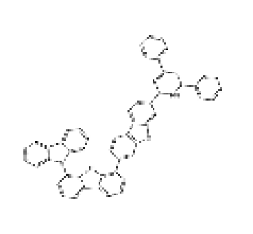 c1ccc(C2=NC(c3ccc4c(c3)oc3cc(-c5cccc6c5oc5c(-n7c8ccccc8c8ccccc87)cccc56)ccc34)NC(c3ccccc3)C2)cc1